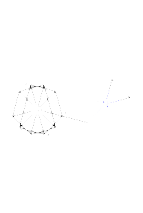 C1CN1C[C]12[CH]3[CH]4[CH]5[CH]1[Fe]45321678[CH]2[CH]1[CH]6[CH]7[CH]28